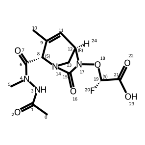 CC(=O)NN(C)C(=O)[C@@H]1C(C)=C[C@@H]2CN1C(=O)N2O[C@@H](F)C(=O)O